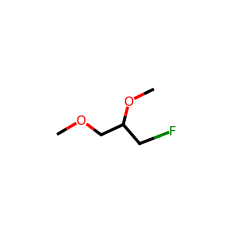 COCC(CF)OC